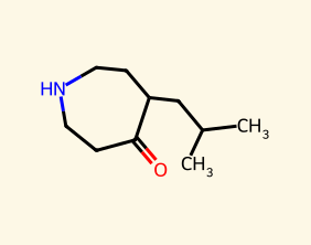 CC(C)CC1CCNCCC1=O